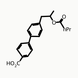 CCCC(=O)OC(C)Cc1ccc(-c2ccc(C(=O)O)cc2)cc1